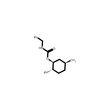 CC(C)CNC(=O)O[C@H]1C[C@@H](C)CC[C@@H]1C(C)C